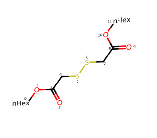 CCCCCCOC(=O)CSSCC(=O)OCCCCCC